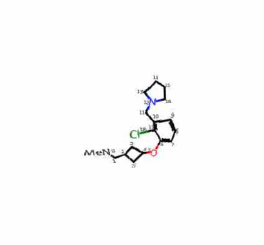 CNCC1CC(Oc2cccc(CN3CCCC3)c2Cl)C1